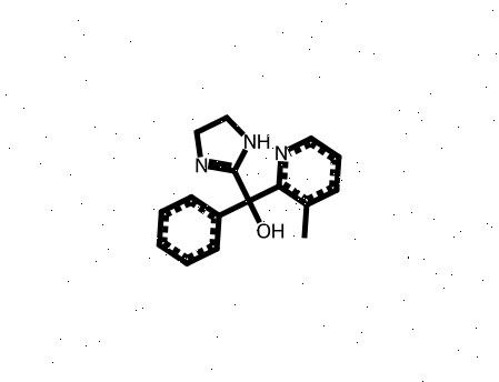 Cc1cccnc1C(O)(C1=NCCN1)c1ccccc1